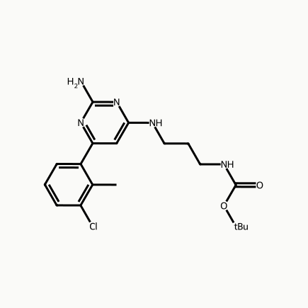 Cc1c(Cl)cccc1-c1cc(NCCCNC(=O)OC(C)(C)C)nc(N)n1